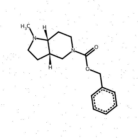 CN1CC[C@H]2CN(C(=O)OCc3ccccc3)CC[C@H]21